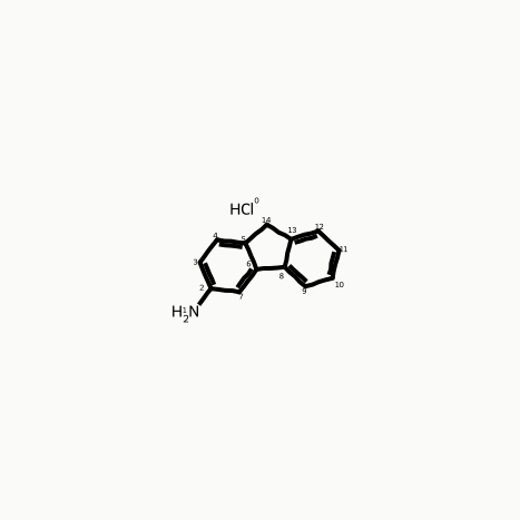 Cl.Nc1ccc2c(c1)-c1ccccc1C2